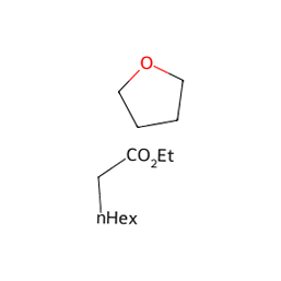 C1CCOC1.CCCCCCCC(=O)OCC